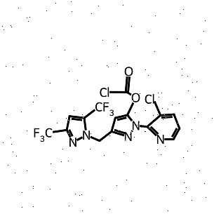 O=C(Cl)Oc1cc(Cn2nc(C(F)(F)F)cc2C(F)(F)F)nn1-c1ncccc1Cl